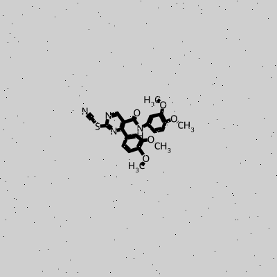 COc1ccc(NC(=O)c2cnc(SC#N)nc2-c2ccc(OC)c(OC)c2)cc1OC